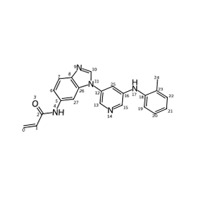 C=CC(=O)Nc1ccc2ncn(-c3cncc(Nc4ccccc4C)c3)c2c1